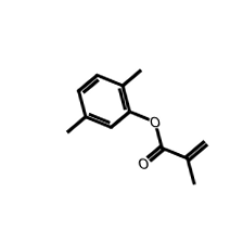 C=C(C)C(=O)Oc1cc(C)ccc1C